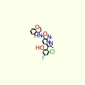 Cc1nn2c(N(C)C)c(C(=O)N[C@H]3CCOc4ccccc43)ccc2c1-c1c(O)cc(F)cc1Cl